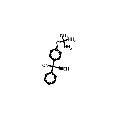 C#CC(N=O)(c1ccccc1)c1ccc(OC(N)(N)N)cc1